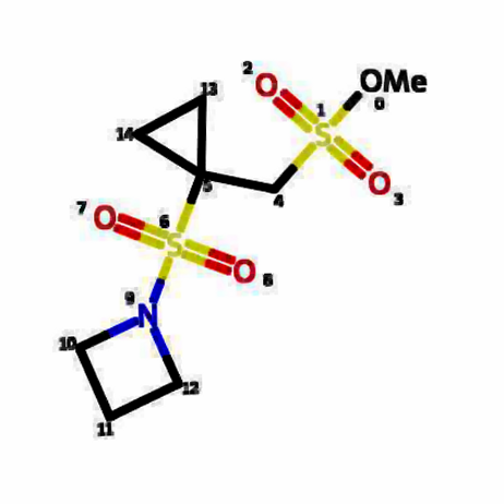 COS(=O)(=O)CC1(S(=O)(=O)N2CCC2)CC1